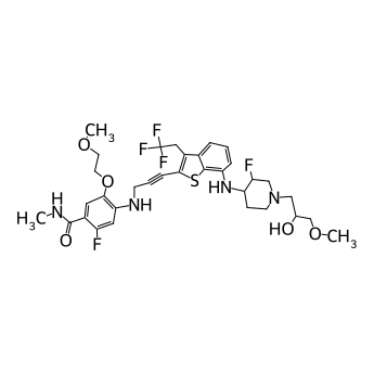 CNC(=O)c1cc(OCCOC)c(NCC#Cc2sc3c(NC4CCN(CC(O)COC)CC4F)cccc3c2CC(F)(F)F)cc1F